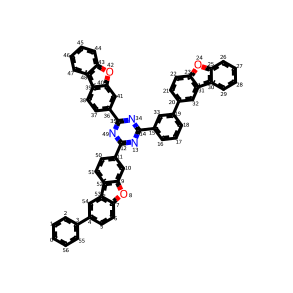 c1ccc(-c2ccc3oc4cc(-c5nc(-c6cccc(-c7ccc8oc9ccccc9c8c7)c6)nc(-c6ccc7c(c6)oc6ccccc67)n5)ccc4c3c2)cc1